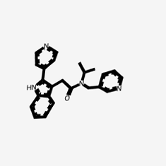 CC(C)N(Cc1cccnc1)C(=O)Cc1c(-c2ccncc2)[nH]c2ccccc12